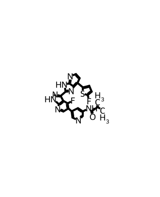 CC(C)C(=O)Nc1cncc(-c2cnc3[nH]nc(-c4nc5c(-c6ccc(F)s6)ccnc5[nH]4)c3c2F)c1